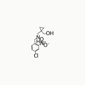 O=[N+]([O-])c1cc(Cl)ccc1CNCC1(CO)CC1